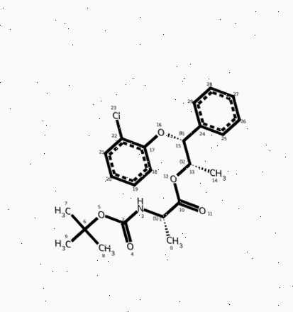 C[C@H](NC(=O)OC(C)(C)C)C(=O)O[C@@H](C)[C@H](Oc1ccccc1Cl)c1ccccc1